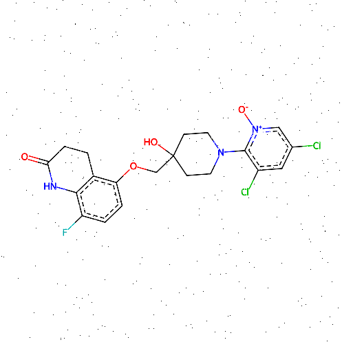 O=C1CCc2c(OCC3(O)CCN(c4c(Cl)cc(Cl)c[n+]4[O-])CC3)ccc(F)c2N1